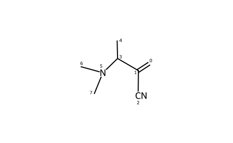 C=C(C#N)C(C)N(C)C